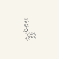 CC1CN(Cc2ccc(-c3cnc(N4CCCC4)cn3)cc2)CC(C)N1C